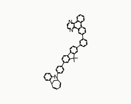 CC1(C)c2cc(-c3ccc(N4c5ccccc5C5C=CC=CC4C5)cc3)ccc2-c2ccc(-c3cccc(-c4ccc5c6ccccc6c6nccnc6c5c4)c3)cc21